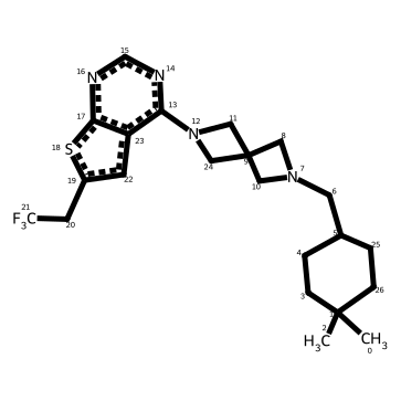 CC1(C)CCC(CN2CC3(C2)CN(c2ncnc4sc(CC(F)(F)F)cc24)C3)CC1